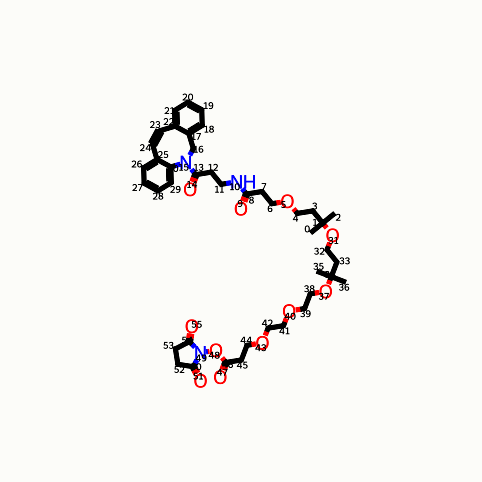 CC(C)(CCOCCC(=O)NCCC(=O)N1Cc2ccccc2C#Cc2ccccc21)OCCC(C)(C)OCCOCCOCCC(=O)ON1C(=O)CCC1=O